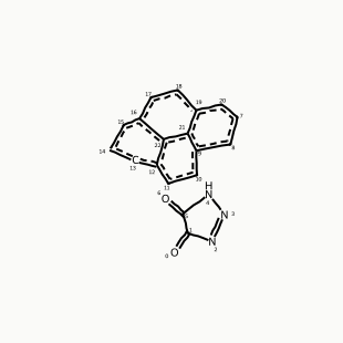 O=C1N=NNC1=O.c1cc2ccc3cccc4ccc(c1)c2c34